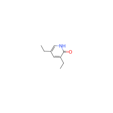 CCc1c[nH]c(=O)c(CC)c1